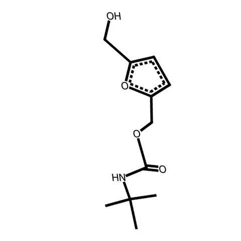 CC(C)(C)NC(=O)OCc1ccc(CO)o1